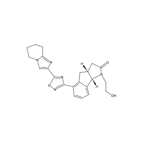 O=C1C[C@H]2Cc3c(-c4noc(-c5cn6c(n5)CCCC6)n4)cccc3[C@H]2N1CCO